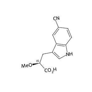 CO[C@@H](Cc1c[nH]c2ccc(C#N)cc12)C(=O)O